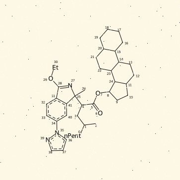 CCCCCC(C)CC(C(=O)OC1CCC2CCC3C4CCCCC4CCC3C21)C1(C)N=C(OCC)c2ccc(-n3cccn3)cc21